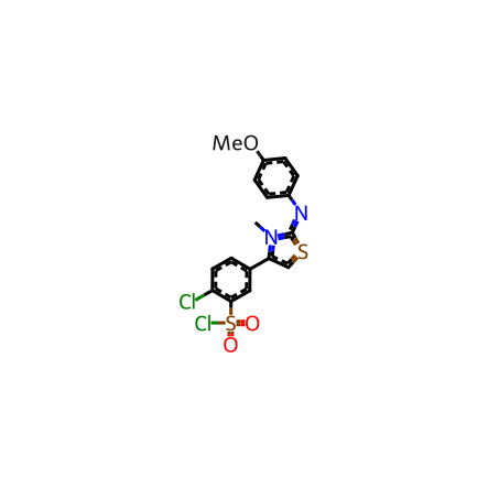 COc1ccc(N=c2scc(-c3ccc(Cl)c(S(=O)(=O)Cl)c3)n2C)cc1